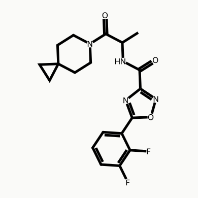 CC(NC(=O)c1noc(-c2cccc(F)c2F)n1)C(=O)N1CCC2(CC1)CC2